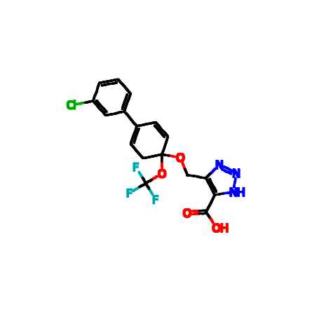 O=C(O)c1[nH]nnc1COC1(OC(F)(F)F)C=CC(c2cccc(Cl)c2)=CC1